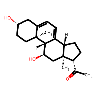 CC(=O)[C@H]1CC[C@H]2C3=CC=C4C[C@@H](O)CC[C@]4(C)[C@H]3[C@H](O)C[C@]12C